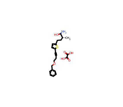 C[C@H](CCc1ccc(C#CCCOCc2ccccc2)s1)C(N)O.O=C(O)C(=O)O